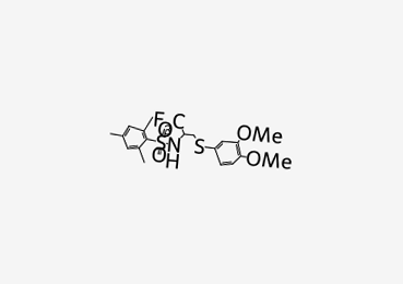 COc1ccc(SCC(NS(=O)(=O)c2c(C)cc(C)cc2C)C(F)(F)F)cc1OC